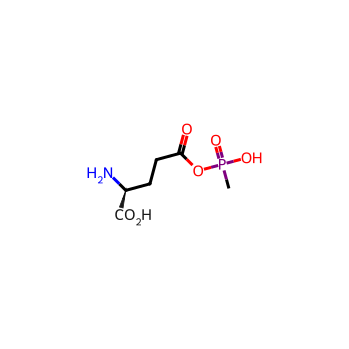 CP(=O)(O)OC(=O)CC[C@H](N)C(=O)O